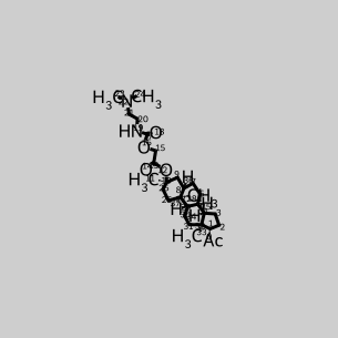 CC(=O)[C@H]1CC[C@H]2[C@@H]3CC[C@H]4C[C@](C)(OC(=O)COC(=O)NCCN(C)C)CC[C@]4(C)[C@H]3CC[C@]12C